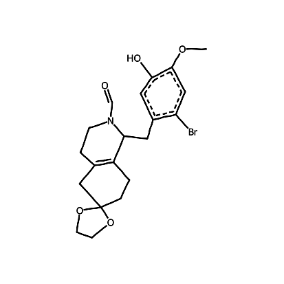 COc1cc(Br)c(CC2C3=C(CCN2C=O)CC2(CC3)OCCO2)cc1O